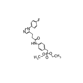 CCOP(=O)(Cc1ccc(NC(=O)CCc2cncn2-c2ccc(F)cc2)cc1)OCC